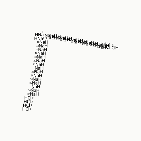 Cl.Cl.Cl.Cl.Cl.Cl.Cl.[NaH].[NaH].[NaH].[NaH].[NaH].[NaH].[NaH].[NaH].[NaH].[NaH].[NaH].[NaH].[NaH].[NaH].[NaH].[NaH].[NaH].[NaH].[NaH].[NaH].[NaH].[NaH].[NaH].[NaH].[NaH].[NaH].[NaH].[NaH].[NaH].[NaH].[NaH].[NaH].[NaH]